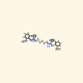 CCCc1cccc(CCC)c1/N=C(/NCCCCCN/C(=N/c1c(CCC)cccc1CCC)C(F)(F)F)C(F)(F)F